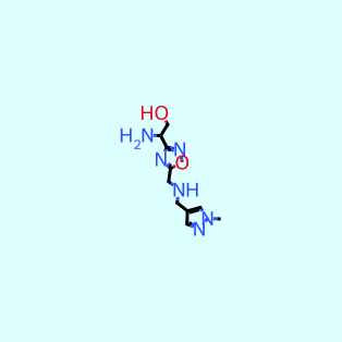 Cn1cc(CNCc2nc(C(N)CO)no2)cn1